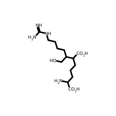 N=C(N)NCCCCC(CO)[C](CCCC(N)C(=O)O)C(=O)O